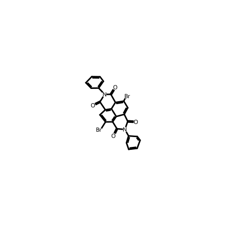 O=C1c2cc(Br)c3c4c(cc(Br)c(c24)C(=O)N1c1ccccc1)C(=O)N(c1ccccc1)C3=O